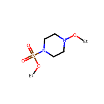 CCON1CCN(S(=O)(=O)OCC)CC1